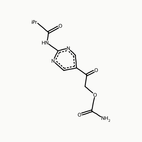 CC(C)C(=O)Nc1ncc(C(=O)COC(N)=O)cn1